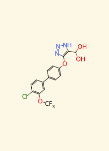 OC(O)c1[nH]nnc1Oc1ccc(-c2ccc(Cl)c(OC(F)(F)F)c2)cc1